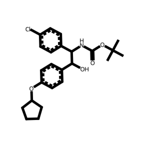 CC(C)(C)OC(=O)NC(c1ccc(Cl)cc1)C(O)c1ccc(OC2CCCC2)cc1